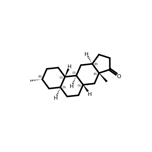 C[C@@H]1CC[C@H]2[C@@H](CC[C@H]3C[C@@]4(C)C(=O)CC[C@@H]4C[C@@H]32)C1